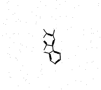 Cc1nc2[nH]c3ccccc3c2cc1Br